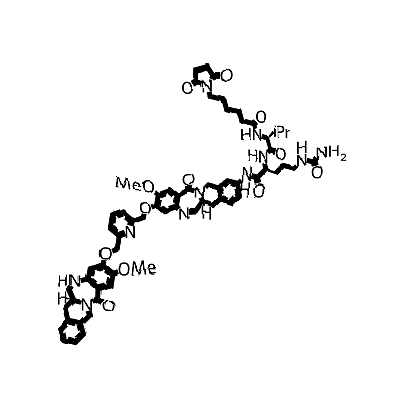 COc1cc2c(cc1OCc1cccc(COc3cc4c(cc3OC)C(=O)N3Cc5ccccc5C[C@H]3CN4)n1)N=C[C@@H]1Cc3ccc(NC(=O)[C@H](CCCNC(N)=O)NC(=O)[C@@H](NC(=O)CCCCCN4C(=O)C=CC4=O)C(C)C)cc3CN1C2=O